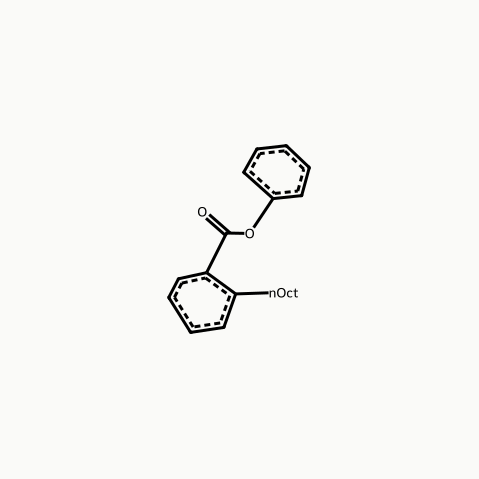 CCCCCCCCc1ccccc1C(=O)Oc1ccccc1